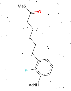 CSC(=O)CCCCCc1cccc(NC(C)=O)c1F